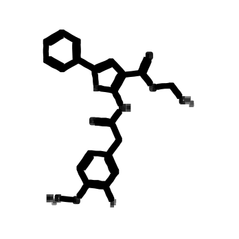 CCOC(=O)c1cc(-c2ccccc2)sc1NC(=O)Cc1ccc(OC)c(F)c1